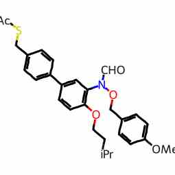 COc1ccc(CON(C=O)c2cc(-c3ccc(CSC(C)=O)cc3)ccc2OCCC(C)C)cc1